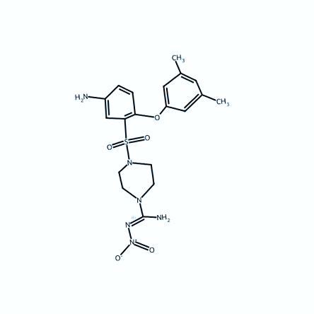 Cc1cc(C)cc(Oc2ccc(N)cc2S(=O)(=O)N2CCN(/C(N)=N/[N+](=O)[O-])CC2)c1